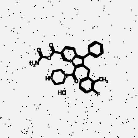 Cc1c(F)cccc1Cc1c(-c2ccccc2)c2ccc(C(=O)OC(N)=O)cn2c1C(=O)N1CCNCC1.Cl